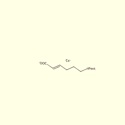 CCCCCCCCC=CC(=O)[O-].[Cs+]